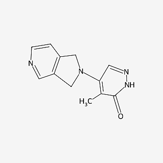 Cc1c(N2Cc3ccncc3C2)cn[nH]c1=O